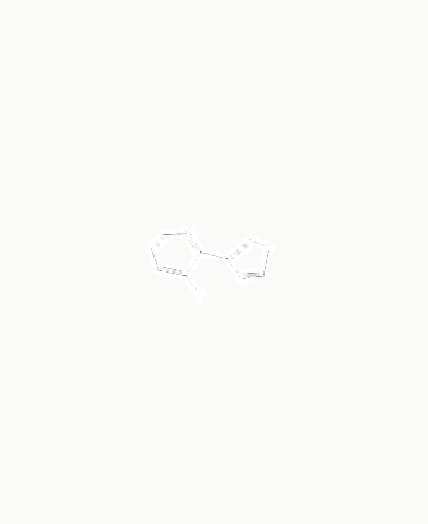 Fc1cccnc1-c1cscn1